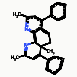 CC1=NC2=c3nc(C)cc(-c4ccccc4)c3=CCC2(C)C(c2ccccc2)=C1